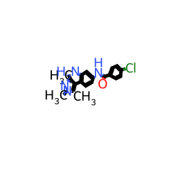 Cc1nn(C)c(C)c1-c1ccc(NC(=O)c2ccc(Cl)cc2)cc1N